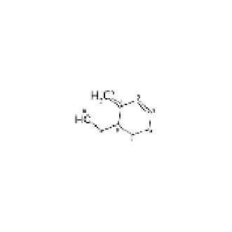 C=C1C=CCCC1CO